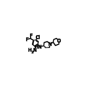 Nc1cc(C(F)F)c(Cl)cc1NC1CCN(C2CCOCC2)CC1